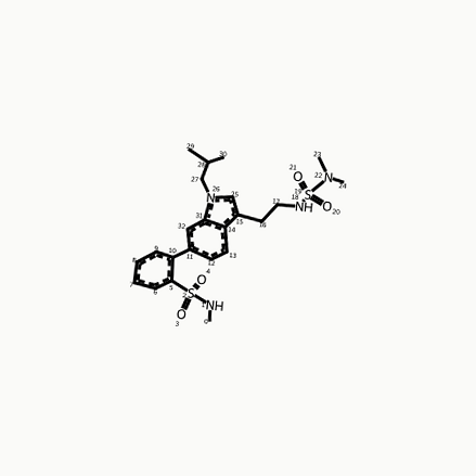 CNS(=O)(=O)c1ccccc1-c1ccc2c(CCNS(=O)(=O)N(C)C)cn(CC(C)C)c2c1